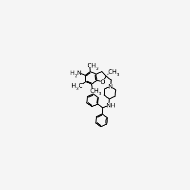 Cc1c(C)c2c(c(C)c1N)C[C@@](C)(CN1CCC(NC(c3ccccc3)c3ccccc3)CC1)O2